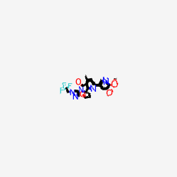 COc1cc(-c2cc(C)c3c(n2)[C@@]2(CCCO2)N(c2cnn(CC(F)(F)F)c2)C3=O)cnc1OC